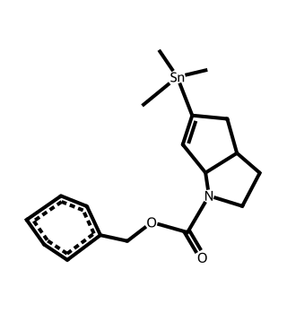 [CH3][Sn]([CH3])([CH3])[C]1=CC2C(CCN2C(=O)OCc2ccccc2)C1